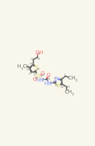 CCc1nc(NC(=O)NS(=O)(=O)c2cc(C)c(CCO)s2)sc1CC